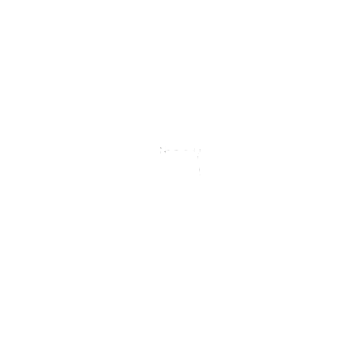 [C]1C=NOCC1